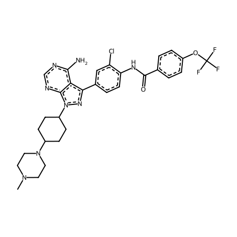 CN1CCN(C2CCC(n3nc(-c4ccc(NC(=O)c5ccc(OC(F)(F)F)cc5)c(Cl)c4)c4c(N)ncnc43)CC2)CC1